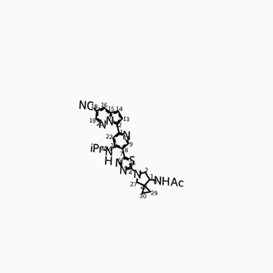 CC(=O)NC1CN(c2nnc(-c3cnc(-c4ccc5cc(C#N)cnn45)cc3NC(C)C)s2)CC12CC2